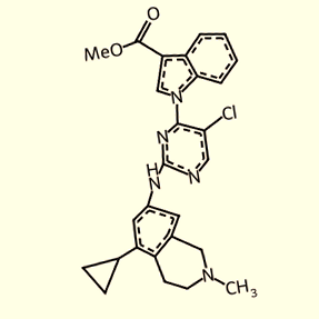 COC(=O)c1cn(-c2nc(Nc3cc4c(c(C5CC5)c3)CCN(C)C4)ncc2Cl)c2ccccc12